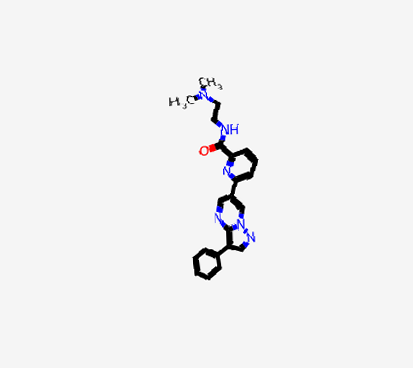 CN(C)CCNC(=O)c1cccc(-c2cnc3c(-c4ccccc4)cnn3c2)n1